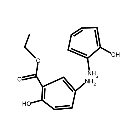 CCOC(=O)c1cc(N)ccc1O.Nc1ccccc1O